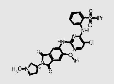 CC(C)Oc1cc2c(cc1Nc1ncc(Cl)c(Nc3ccccc3S(=O)(=O)C(C)C)n1)C(=O)N([C@H]1CCN(C)C1)C2=O